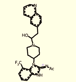 CC(=O)/N=c1\[nH]c2cccc(C(F)(F)F)c2n1C1CCN(C(O)Cc2ccc3ncccc3c2)CC1